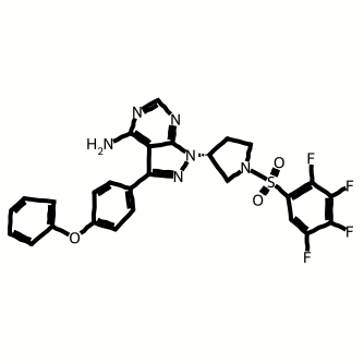 Nc1ncnc2c1c(-c1ccc(Oc3ccccc3)cc1)nn2[C@@H]1CCN(S(=O)(=O)c2cc(F)c(F)c(F)c2F)C1